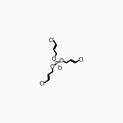 O=P(OCC=CCl)(OCC=CCl)OCC=CCl